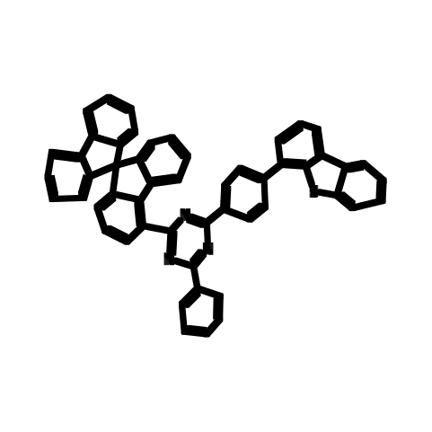 c1ccc(-c2nc(-c3ccc(-c4cccc5c4sc4ccccc45)cc3)nc(-c3cccc4c3-c3ccccc3C43c4ccccc4-c4ccccc43)n2)cc1